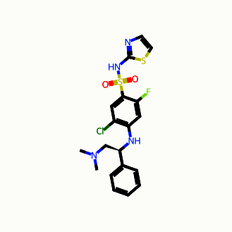 CN(C)C[C@@H](Nc1cc(F)c(S(=O)(=O)Nc2nccs2)cc1Cl)c1ccccc1